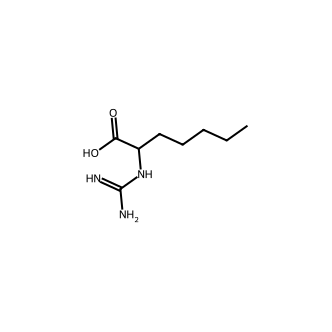 CCCCCC(NC(=N)N)C(=O)O